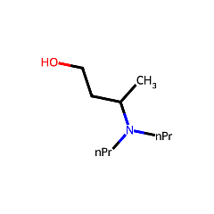 CCCN(CCC)C(C)CCO